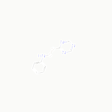 c1ccc(NSSc2ncncn2)cc1